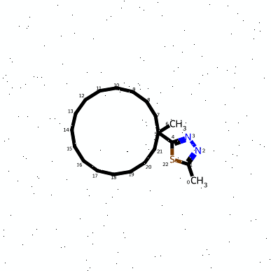 Cc1nnc(C2(C)CCCCCCCCCCCCCCC2)s1